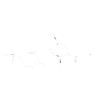 CC(C)(C)OC(=O)N1C[C@H]2C[C@@H](Oc3ccc(C(F)(F)F)cn3)[C@@H]1C2